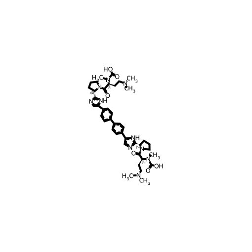 CN(C)CC[C@@H](C(=O)N1CCC[C@H]1c1ncc(-c2ccc(-c3ccc(-c4cnc([C@@H]5CCCN5C(=O)[C@H](CCN(C)C)N(C)C(=O)O)[nH]4)cc3)cc2)[nH]1)N(C)C(=O)O